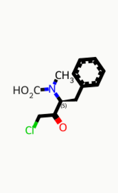 CN(C(=O)O)[C@@H](Cc1ccccc1)C(=O)CCl